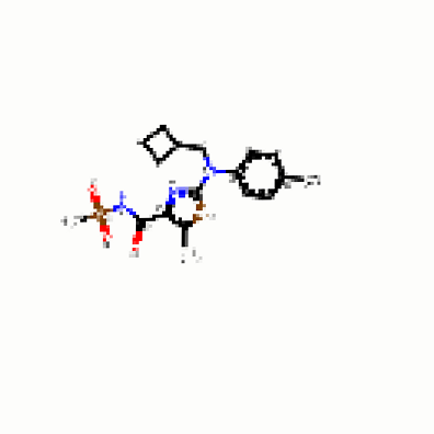 Cc1sc(N(CC2CCC2)c2ccc(C#N)cc2)nc1C(=O)NS(C)(=O)=O